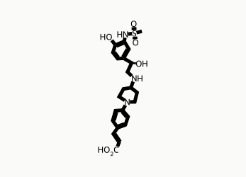 CS(=O)(=O)Nc1cc([C@@H](O)CNC2CCN(c3ccc(/C=C/C(=O)O)cc3)CC2)ccc1O